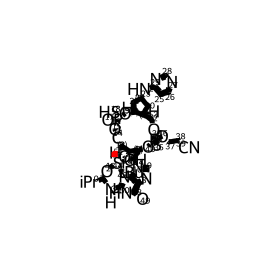 CC(C)C(=O)Nc1nc2c(ncn2[C@@H]2O[C@@H]3COP(=O)(S)O[C@H]4C[C@H](Nc5ccncn5)C[C@@H]4COP(=S)(OCCC#N)O[C@@H]2C3O[Si](C)(C)C(C)(C)C)c(=O)[nH]1